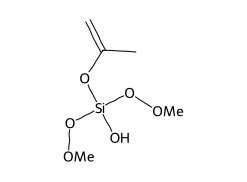 C=C(C)O[Si](O)(OOC)OOC